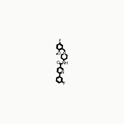 COc1ccc(F)cc1CN1CCC(NC(=O)c2ccc(-c3cccc(F)c3)nc2)CC1